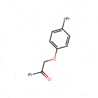 CCCc1ccc(OCC(=O)C(C)C)cc1